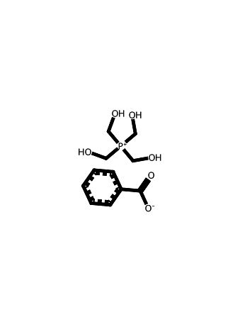 O=C([O-])c1ccccc1.OC[P+](CO)(CO)CO